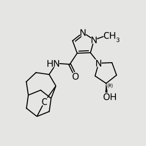 Cn1ncc(C(=O)NC2CCC3CC4CC(C3)C2C4)c1N1CC[C@@H](O)C1